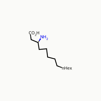 CCCCCCCCCCC[C@H](N)CC(=O)O